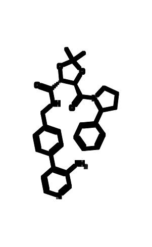 CC1(C)O[C@@H](C(=O)NCc2ccc(-c3ccncc3N)cc2)[C@H](C(=O)N2CCCC2c2ccccc2)O1